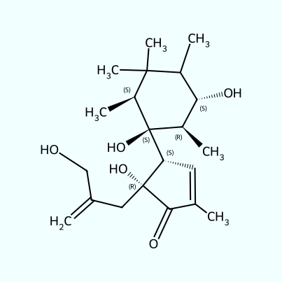 C=C(CO)C[C@]1(O)C(=O)C(C)=C[C@H]1[C@@]1(O)[C@H](C)[C@@H](O)C(C)C(C)(C)[C@@H]1C